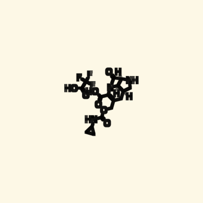 O=C(NC1CC1)OCC1=C(C(=O)O)N2C(=O)[C@H]3NC[C@@H](C1)[C@H]32.O=C(O)C(F)(F)F